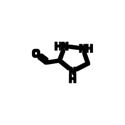 O=CC1NCNN1